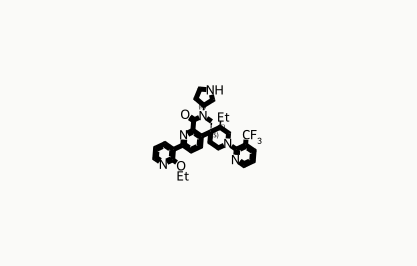 CCOc1ncccc1-c1ccc2c(n1)C(=O)N([C@@H]1CCNC1)C[C@]21CCN(c2ncccc2C(F)(F)F)C[C@H]1CC